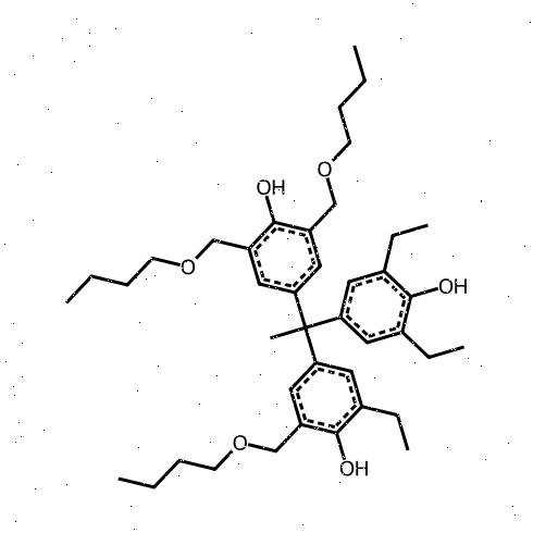 CCCCOCc1cc(C(C)(c2cc(CC)c(O)c(CC)c2)c2cc(COCCCC)c(O)c(COCCCC)c2)cc(CC)c1O